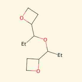 CCC(OC(CC)C1CCO1)C1CCO1